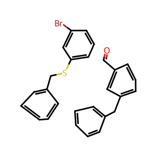 Brc1cccc(SCc2ccccc2)c1.O=Cc1cccc(Cc2ccccc2)c1